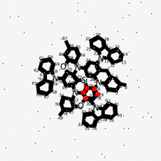 Cc1ccc2c(c1)Cc1c(-n3c4ccccc4c4ccccc43)cc3c4c1N2C1=CC(n2c5ccccc5c5ccccc52)=C2Oc5cc(C)ccc5N5c6cc(-n7c8ccccc8c8ccccc87)c7c(c6[Si]4(c4ccccc4)C1C25)N3c1ccc(C)cc1O7